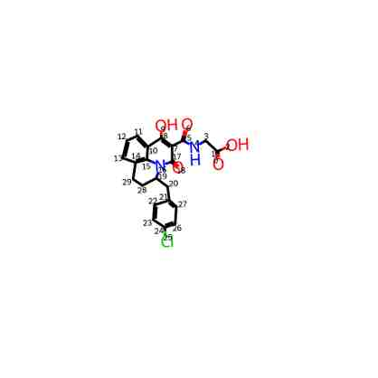 O=C(O)CNC(=O)c1c(O)c2cccc3c2n(c1=O)C(Cc1ccc(Cl)cc1)CC3